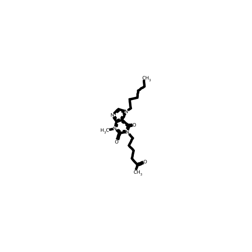 CCCCCCn1cnc2c1c(=O)n(CCCCC(C)=O)c(=O)n2C